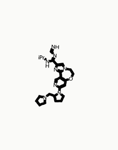 CC(C)N/C(=N\C=N)c1cn2c(n1)-c1cnc(N3CCCC3CN3CCCC3)cc1OCC2